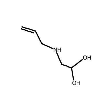 C=CCNCC(O)O